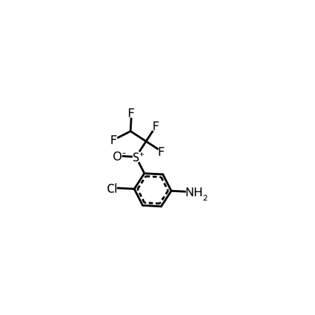 Nc1ccc(Cl)c([S+]([O-])C(F)(F)C(F)F)c1